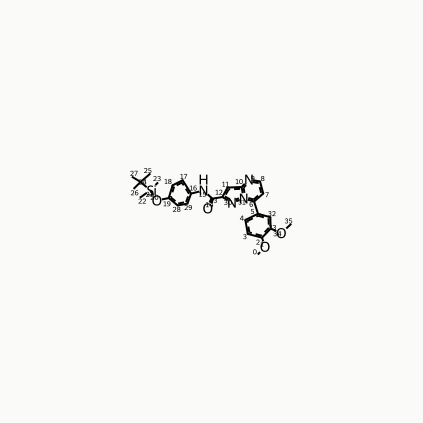 COc1ccc(-c2ccnc3cc(C(=O)Nc4ccc(O[Si](C)(C)C(C)(C)C)cc4)nn23)cc1OC